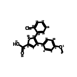 COc1ccc(-c2cc(C(=O)O)sc2-c2ccccc2Cl)cc1